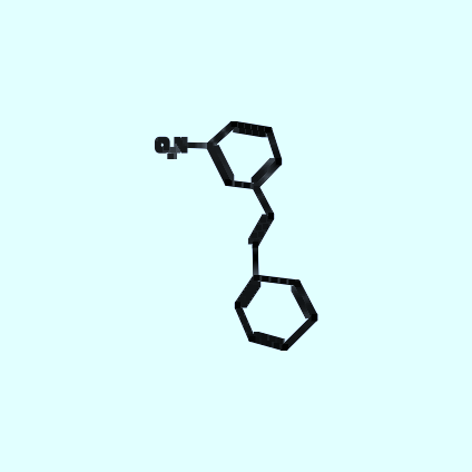 O=[N+]([O-])c1cccc(C=Cc2ccccc2)c1